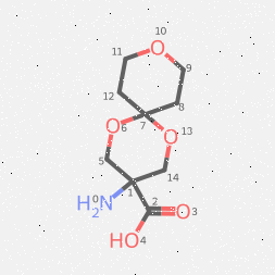 NC1(C(=O)O)COC2(CCOCC2)OC1